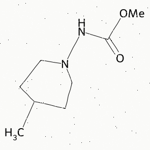 COC(=O)NN1CCC(C)CC1